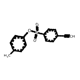 C#Cc1ccc(S(=O)(=O)Oc2ccc(C)cc2)cc1